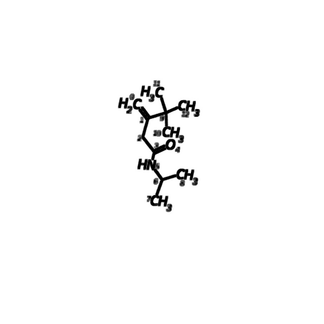 C=C(CC(=O)NC(C)C)C(C)(C)C